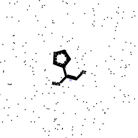 CC/C=C(/SC)c1ccsc1